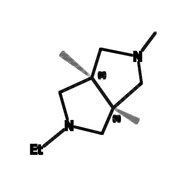 CCN1C[C@]2(C)CN(C)C[C@]2(C)C1